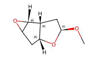 CO[C@@H]1C[C@@H]2[C@@H](CC3O[C@@H]32)O1